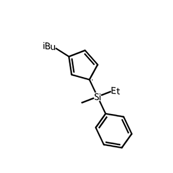 CCC(C)C1=C[C]([Si](C)(CC)c2ccccc2)C=C1